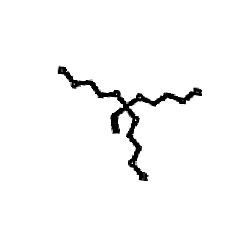 C=C[Si](OCCOCC)(OCCOCC)OCCOCC